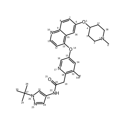 CN1CCC(Oc2ccc3nccc(Oc4cnc(CC(=O)Nc5cnn(C(C)(C)C)c5)c(F)c4)c3c2)CC1